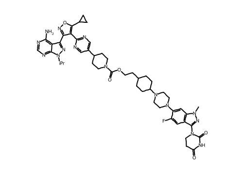 CC(C)n1nc(-c2noc(C3CC3)c2-c2ncc(C3CCN(C(=O)OCCC4CCC(N5CCN(c6cc7c(cc6F)c(N6CCC(=O)NC6=O)nn7C)CC5)CC4)CC3)cn2)c2c(N)ncnc21